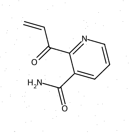 C=CC(=O)c1ncccc1C(N)=O